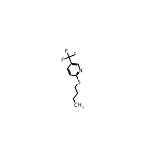 CCCCSc1ccc(C(F)(F)F)cn1